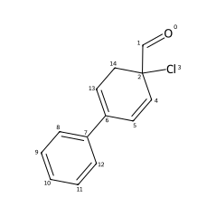 O=CC1(Cl)C=CC(c2ccccc2)=CC1